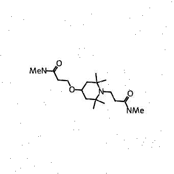 CNC(=O)CCOC1CC(C)(C)N(CCC(=O)NC)C(C)(C)C1